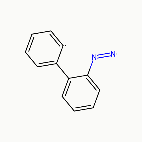 [N]=Nc1ccccc1-c1[c]cccc1